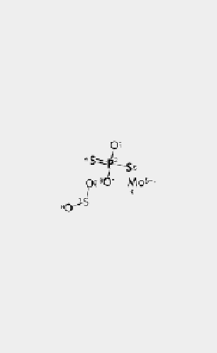 [Mo+5].[O-]P([O-])(=S)[S-].[O-]S[O-]